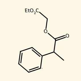 CCOC(=O)COC(=O)C(C)c1[c]cccc1